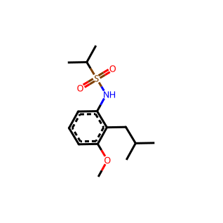 COc1cccc(NS(=O)(=O)C(C)C)c1CC(C)C